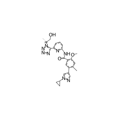 COc1cc(C)c(-c2cnn(C3CC3)c2)cc1C(=O)Nc1cccc(-c2nnnn2[C@H](C)CO)n1